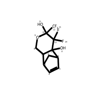 OC12C3C=CC(C3)C1COC(O)(C(F)(F)F)C2(F)F